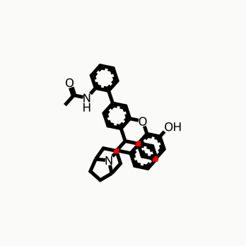 CC(=O)Nc1ccccc1-c1ccc2c(c1)Oc1c(O)cccc1C2C1CC2CCC(C1)N2Cc1ccccc1